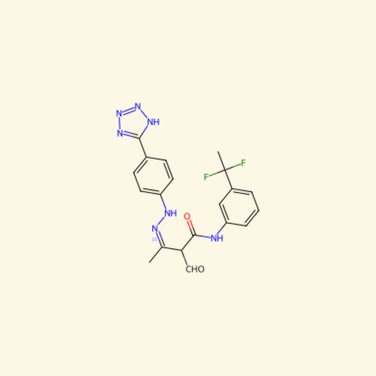 C/C(=N/Nc1ccc(-c2nnn[nH]2)cc1)C(C=O)C(=O)Nc1cccc(C(C)(F)F)c1